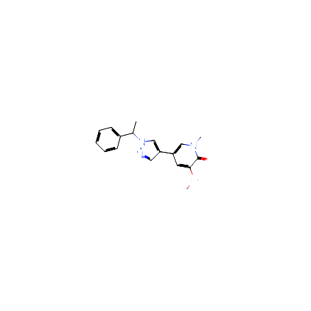 COc1cc(-c2cnn(C(C)c3ccccc3)c2)cn(C)c1=O